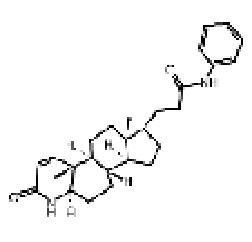 C[C@]12C=CC(=O)N[C@@H]1CC[C@@H]1[C@@H]2CC[C@]2(C)[C@@H](CCC(=O)Nc3ccccc3)CC[C@@H]12